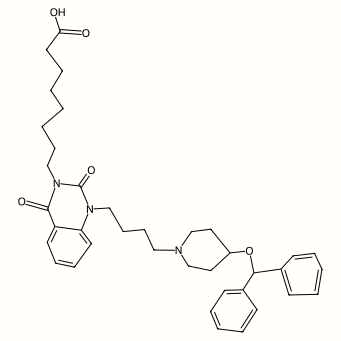 O=C(O)CCCCCCCn1c(=O)c2ccccc2n(CCCCN2CCC(OC(c3ccccc3)c3ccccc3)CC2)c1=O